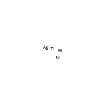 [Ag].[Al].[Ni].[Ti]